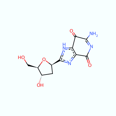 NC1=NC(=O)c2nc([C@H]3C[C@H](O)[C@@H](CO)O3)[nH]c2C1=O